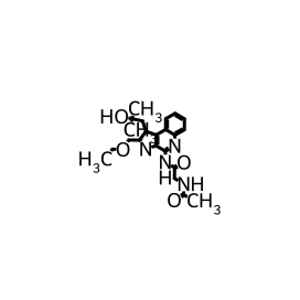 CCOCC1=Nc2c(NC(=O)CNC(C)=O)nc3ccccc3c2C1CC(C)(C)O